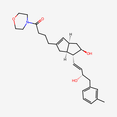 Cc1cccc(C[C@H](O)/C=C/[C@@H]2[C@H]3CC(CCCC(=O)N4CCOCC4)=C[C@H]3C[C@H]2O)c1